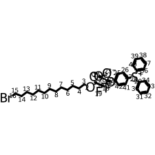 O=C(OCCCCCCCCCCCCCBr)C(F)(F)S(=O)(=O)[O-].c1ccc([S+](c2ccccc2)c2ccccc2)cc1